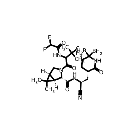 BC1(B)CC[C@@H](C[C@@H](C#N)NC(=O)[C@@H]2[C@@H]3[C@H](CN2C(=O)C(NC(=O)C(F)F)C(C)(C)C)C3(C)C)C(=O)N1